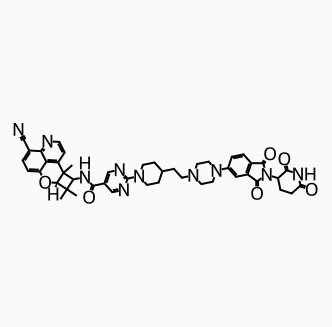 CC1(C)C(NC(=O)c2cnc(N3CCC(CCN4CCN(c5ccc6c(c5)C(=O)N(C5CCC(=O)NC5=O)C6=O)CC4)CC3)nc2)C2(C)c3ccnc4c(C#N)ccc(c34)O[C@@H]12